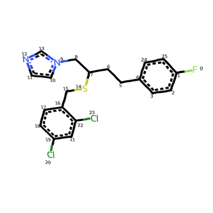 Fc1ccc(CCC(Cn2ccnc2)SCc2ccc(Cl)cc2Cl)cc1